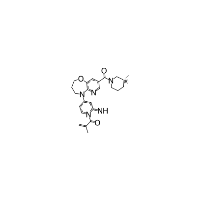 C=C(C)C(=O)n1ccc(N2CCCOc3cc(C(=O)N4CCC[C@@H](C)C4)cnc32)cc1=N